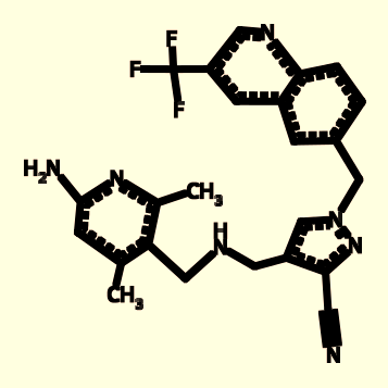 Cc1cc(N)nc(C)c1CNCc1cn(Cc2ccc3ncc(C(F)(F)F)cc3c2)nc1C#N